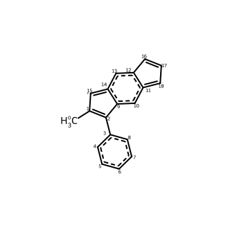 CC1=C(c2ccccc2)c2cc3c(cc2=[C]1)C=CC=3